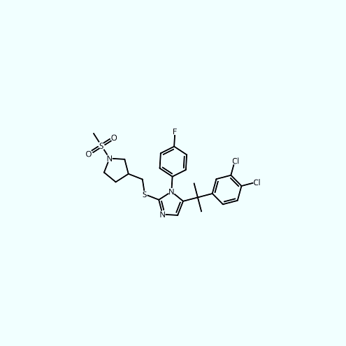 CC(C)(c1ccc(Cl)c(Cl)c1)c1cnc(SCC2CCN(S(C)(=O)=O)C2)n1-c1ccc(F)cc1